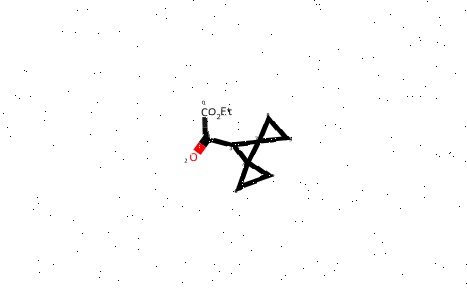 CCOC(=O)C(=O)C1C2(CC2)C12CC2